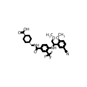 COCC(Nc1ccc(C(=O)NC[C@H]2CC[C@H](C(=O)O)CC2)cc1C(F)(F)F)c1cc(C#N)ccc1OC